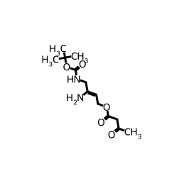 CC(=O)CC(=O)OCC=C(N)CNC(=O)OC(C)(C)C